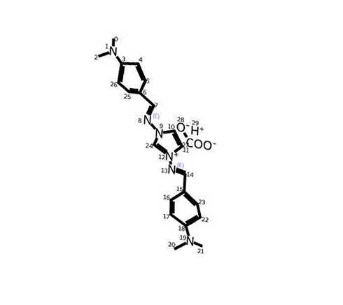 CN(C)c1ccc(/C=N/n2cc[n+](/N=C/c3ccc(N(C)C)cc3)c2)cc1.O=C([O-])[O-].[H+]